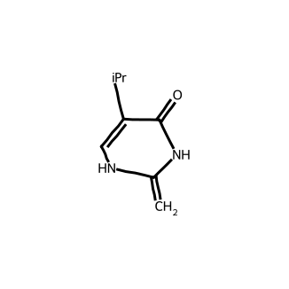 C=C1NC=C(C(C)C)C(=O)N1